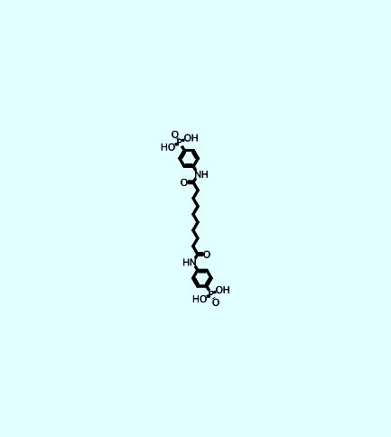 O=C(CCCCCCCCC(=O)Nc1ccc(P(=O)(O)O)cc1)Nc1ccc(P(=O)(O)O)cc1